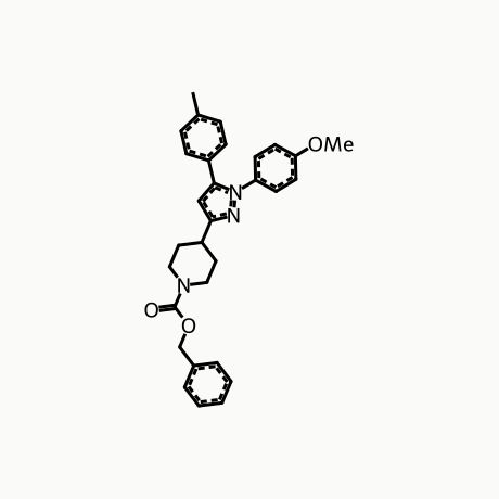 COc1ccc(-n2nc(C3CCN(C(=O)OCc4ccccc4)CC3)cc2-c2ccc(C)cc2)cc1